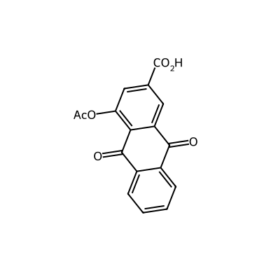 CC(=O)Oc1cc(C(=O)O)cc2c1C(=O)c1ccccc1C2=O